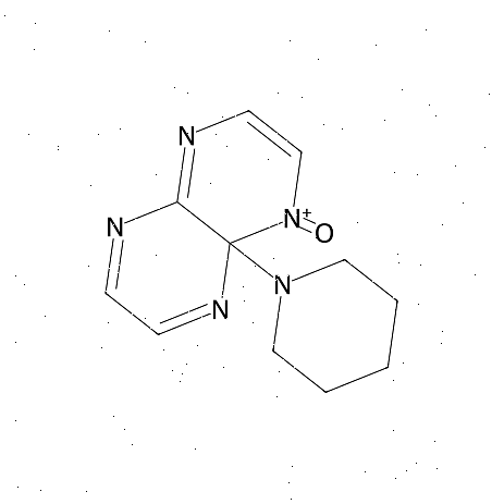 O=[N+]1C=CN=C2N=CC=NC21N1CCCCC1